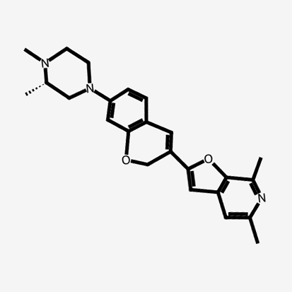 Cc1cc2cc(C3=Cc4ccc(N5CCN(C)[C@@H](C)C5)cc4OC3)oc2c(C)n1